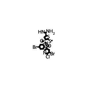 CSc1sc(C(=N)N)cc1S(=O)(=NS(=O)(=O)c1cnc(Cl)c(Br)c1)c1cccc(Br)c1